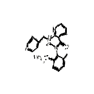 Cc1cccc(C(=O)O)c1N([N])C(=O)c1cccnc1NCc1ccncc1